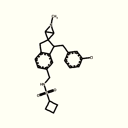 CN1C2C1C21Cc2ccc(CNS(=O)(=O)C3CCC3)cc2C1Cc1cccc(Cl)c1